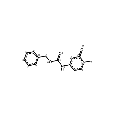 Cn1ccc(NC(=O)OCc2ccccc2)nc1=O